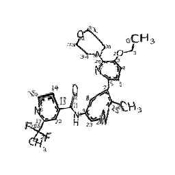 CCOc1ccc(-c2cc(NC(=O)c3ccnc(C(C)(F)F)c3)cnc2C)nc1N1CCOCC1